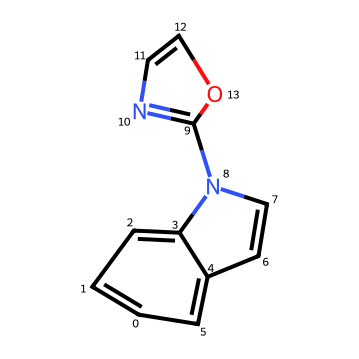 c1ccc2c(c1)ccn2-c1ncco1